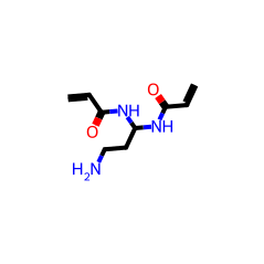 C=CC(=O)NC(CCN)NC(=O)C=C